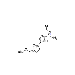 CCCCOC[C@@H]1CC[C@H](c2cnc(/C(N)=N\C=N)[nH]2)O1